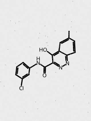 Cc1ccc2nnc(C(=O)Nc3cccc(Cl)c3)c(O)c2c1